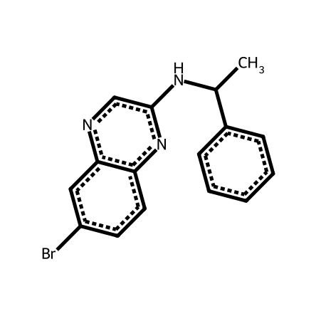 CC(Nc1cnc2cc(Br)ccc2n1)c1ccccc1